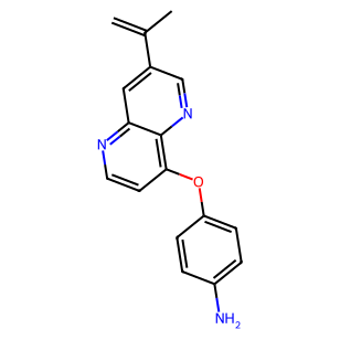 C=C(C)c1cnc2c(Oc3ccc(N)cc3)ccnc2c1